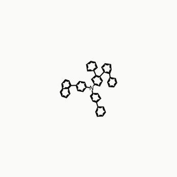 c1ccc(-c2ccc(N(c3ccc(-c4cccc5ccccc45)cc3)c3ccc(-c4ccccc4-c4ccccc4)c(-c4ccccc4)c3)cc2)cc1